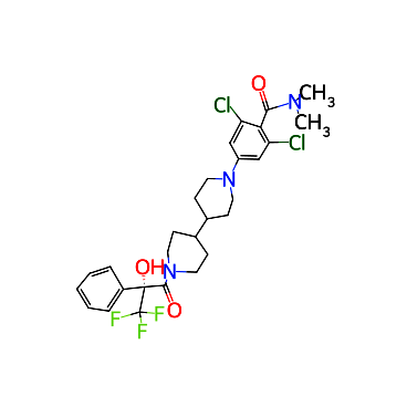 CN(C)C(=O)c1c(Cl)cc(N2CCC(C3CCN(C(=O)[C@](O)(c4ccccc4)C(F)(F)F)CC3)CC2)cc1Cl